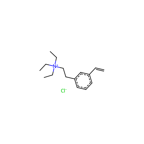 C=Cc1cccc(CC[N+](CC)(CC)CC)c1.[Cl-]